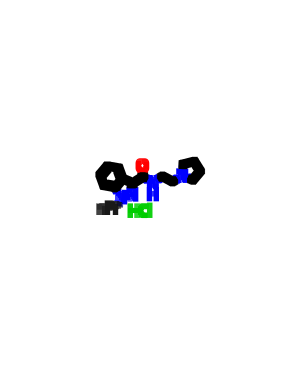 CCCn1nc(C(=O)NCCN2CCCC2)c2ccccc21.Cl